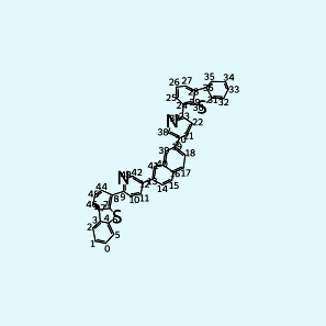 c1ccc2c(c1)sc1c(-c3ccc(-c4ccc5ccc(-c6ccc(-c7cccc8c7sc7ccccc78)nc6)cc5c4)cn3)cccc12